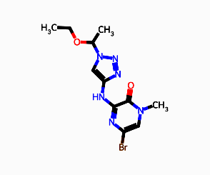 CCOC(C)n1cc(Nc2nc(Br)cn(C)c2=O)nn1